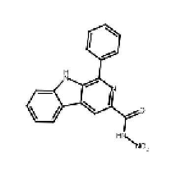 O=C(N[N+](=O)[O-])c1cc2c([nH]c3ccccc32)c(-c2ccccc2)n1